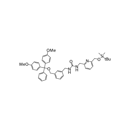 COc1ccc(C(OCc2cccc(CNC(=O)NCc3cccc(CO[Si](C)(C)C(C)(C)C)n3)c2)(c2ccccc2)c2ccc(OC)cc2)cc1